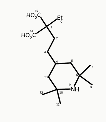 CCC(CCC1CC(C)(C)NC(C)(C)C1)(C(=O)O)C(=O)O